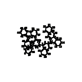 c1ccc(-c2nc(-c3cc(-n4c5ccccc5c5cc6ccccc6cc54)cc4ccccc34)nc(-c3cccc4c5ccccc5n(-c5ccccc5)c34)n2)cc1